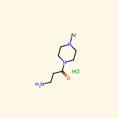 CC(=O)N1CCN(C(=O)CCN)CC1.Cl